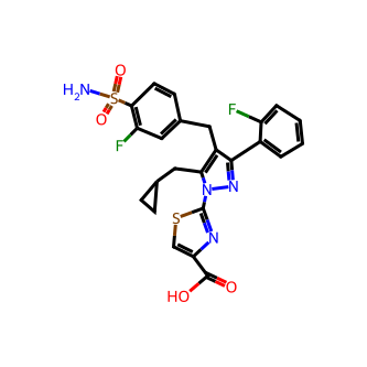 NS(=O)(=O)c1ccc(Cc2c(-c3ccccc3F)nn(-c3nc(C(=O)O)cs3)c2CC2CC2)cc1F